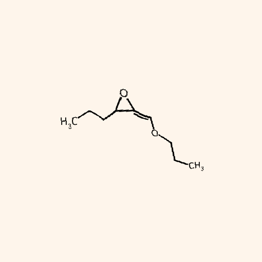 CCCOC=C1OC1CCC